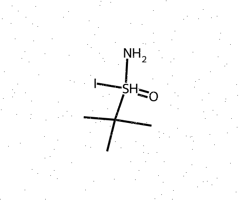 CC(C)(C)[SH](N)(=O)I